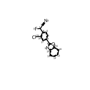 N#CC(F)c1ccc(-c2nc3ccccc3o2)cc1Cl